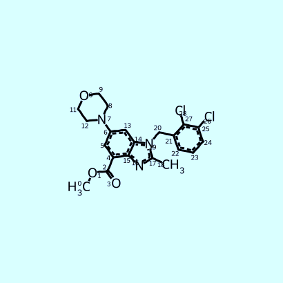 COC(=O)c1cc(N2CCOCC2)cc2c1nc(C)n2Cc1cccc(Cl)c1Cl